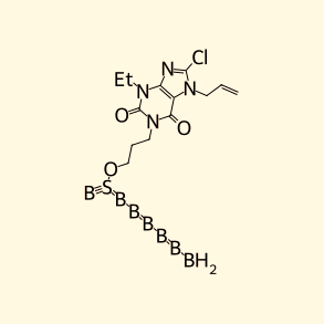 B#S(=BB=BB=BB)OCCCn1c(=O)c2c(nc(Cl)n2CC=C)n(CC)c1=O